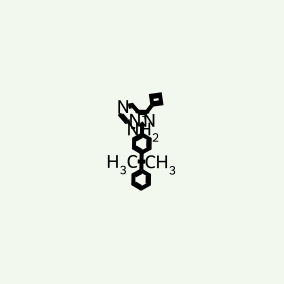 CC(C)(c1ccccc1)c1ccc(C2=NC(C3=CC=C3)=C3C=NC=C[N+]23N)cc1